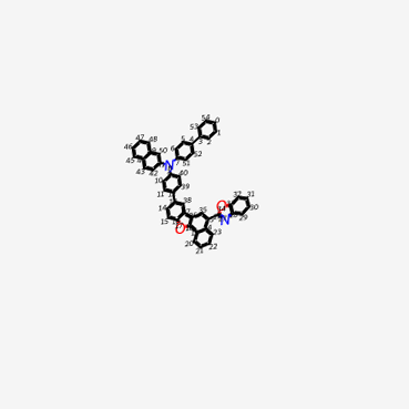 c1ccc(-c2ccc(N(c3ccc(-c4ccc5oc6c7ccccc7c(-c7nc8ccccc8o7)cc6c5c4)cc3)c3ccc4ccccc4c3)cc2)cc1